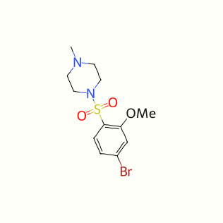 COc1cc(Br)ccc1S(=O)(=O)N1CCN(C)CC1